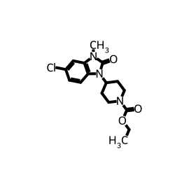 CCOC(=O)N1CCC(n2c(=O)n(C)c3cc(Cl)ccc32)CC1